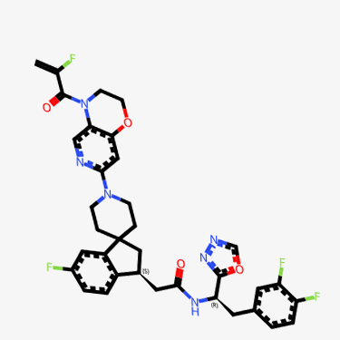 C=C(F)C(=O)N1CCOc2cc(N3CCC4(CC3)C[C@@H](CC(=O)N[C@H](Cc3ccc(F)c(F)c3)c3nnco3)c3ccc(F)cc34)ncc21